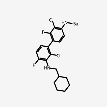 CCC(C)Nc1[c]cc(-c2ccc(F)c(NCC3CCCCC3)c2Cl)c(F)c1Cl